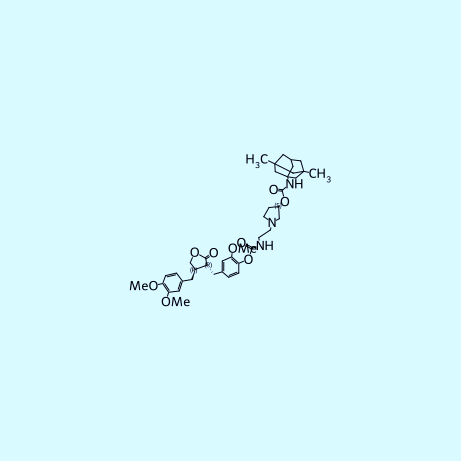 COc1ccc(C[C@H]2COC(=O)[C@@H]2Cc2ccc(OC(=O)NCCN3CC[C@H](OC(=O)NC45CC6CC(C)(CC(C)(C6)C4)C5)C3)c(OC)c2)cc1OC